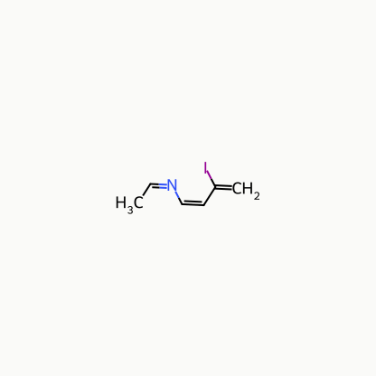 C=C(I)/C=C\N=C/C